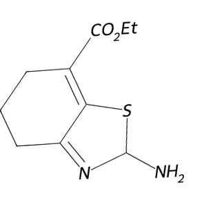 CCOC(=O)C1=C2SC(N)N=C2CCC1